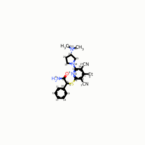 CCc1c(C#N)c(SC(C(N)=O)c2ccccc2)nc(N2CC[C@H](N(C)C)C2)c1C#N